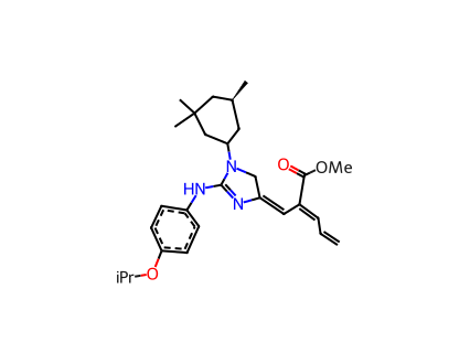 C=C/C=C(\C=C1/CN(C2C[C@H](C)CC(C)(C)C2)C(Nc2ccc(OC(C)C)cc2)=N1)C(=O)OC